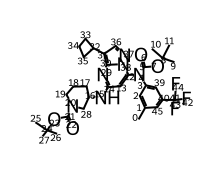 Cc1cc(N(C(=O)OC(C)(C)C)c2cc(N[C@H]3CCCN(C(=O)OC(C)(C)C)C3)nc3c(C4CCC4)cnn23)cc(C(F)(F)F)c1